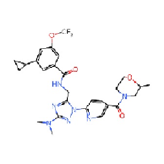 CC1CN(C(=O)c2ccc(-n3nc(N(C)C)nc3CNC(=O)c3cc(OC(F)(F)F)cc(C4CC4)c3)nc2)CCO1